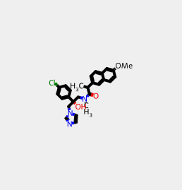 COc1ccc2cc(C(C)C(=O)N(C)CC(O)(Cn3ccnc3)c3ccc(Cl)cc3)ccc2c1